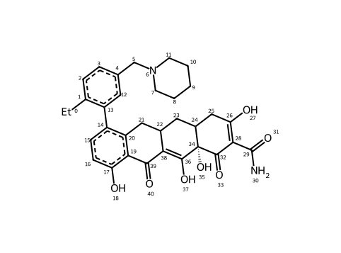 CCc1ccc(CN2CCCCC2)cc1-c1ccc(O)c2c1CC1CC3CC(O)=C(C(N)=O)C(=O)[C@@]3(O)C(O)=C1C2=O